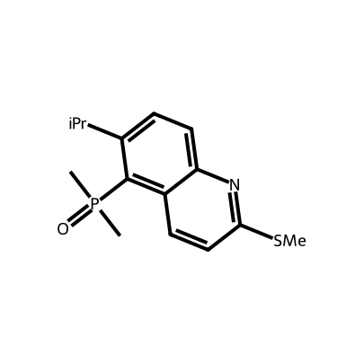 CSc1ccc2c(P(C)(C)=O)c(C(C)C)ccc2n1